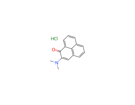 CN(C)C1=Cc2cccc3cccc(c23)C1=O.Cl